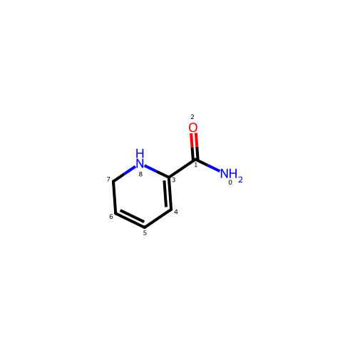 NC(=O)C1=CC=CCN1